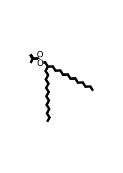 C=C(C)C(=O)OCC(CCCCCCCCCCCC)CCCCCCCCCCCCC